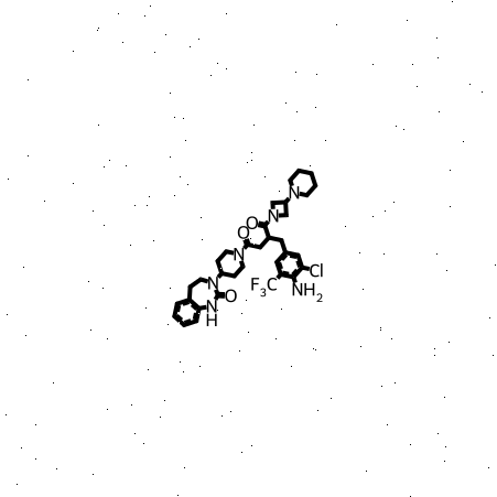 Nc1c(Cl)cc(CC(CC(=O)N2CCC(N3CCc4ccccc4NC3=O)CC2)C(=O)N2CC(N3CCCCC3)C2)cc1C(F)(F)F